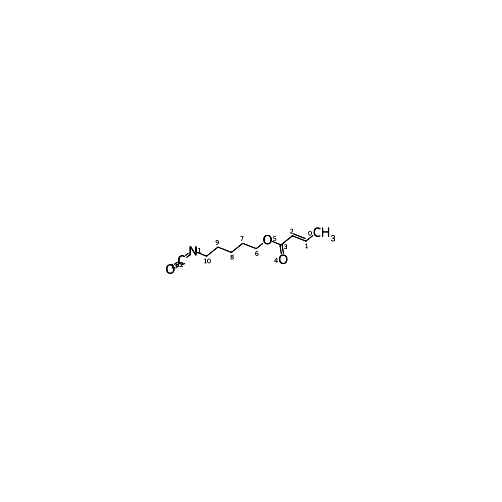 CC=CC(=O)OCCCCCN=C=O